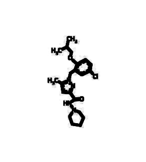 Cc1cc(C(=O)NN2CCCCC2)nn1Cc1cc(Cl)ccc1OCC(C)C